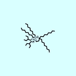 CCCCCCCCC1(CCCCCCCC)C[CH2][Sn]([O]CC(CC)CC)([O]CC(CC)CC)[Sn]([CH2]CCCCCCC)([CH2]CCCCCCC)[O]1